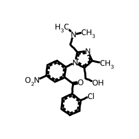 Cc1nc(CN(C)C)n(-c2ccc([N+](=O)[O-])cc2C(=O)c2ccccc2Cl)c1CO